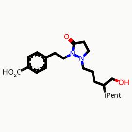 CCCC(C)C(CO)CCCN1CCC(=O)N1CCc1ccc(C(=O)O)cc1